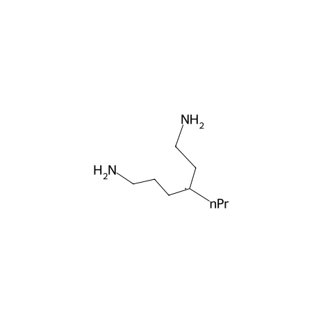 CCC[C](CCN)CCCN